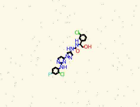 O=C(Nc1cnn(-c2ccnc(Nc3ccc(F)cc3Cl)n2)c1)NC(CO)c1cccc(Cl)c1